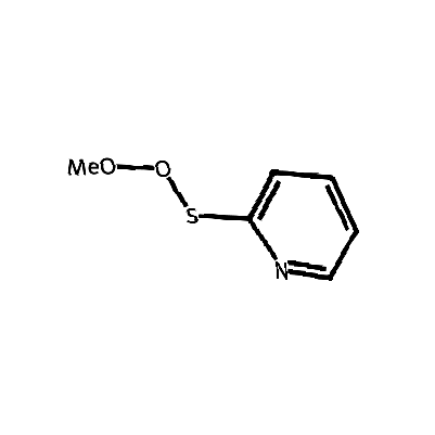 COOSc1ccccn1